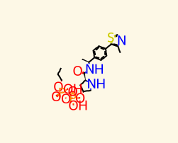 CCCOP(=O)(O)OP(=O)(O)O[C@H]1CN[C@H](C(=O)N[C@@H](C)c2ccc(-c3scnc3C)cc2)C1